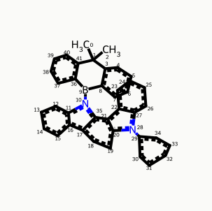 CC1(C)c2ccccc2B(n2c3ccccc3c3ccc4c(c5ccccc5n4-c4ccccc4)c32)c2ccccc21